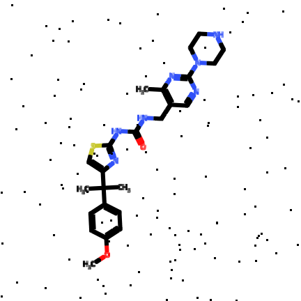 COc1ccc(C(C)(C)c2csc(NC(=O)NCc3cnc(N4CCNCC4)nc3C)n2)cc1